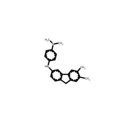 Cc1cc2c(cc1C)-c1cc(Nc3ccc(N(C)C)cc3)ccc1C2